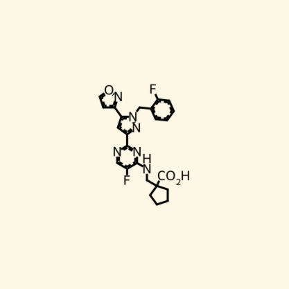 O=C(O)C1(CNc2nc(-c3cc(-c4ccon4)n(Cc4ccccc4F)n3)ncc2F)CCCC1